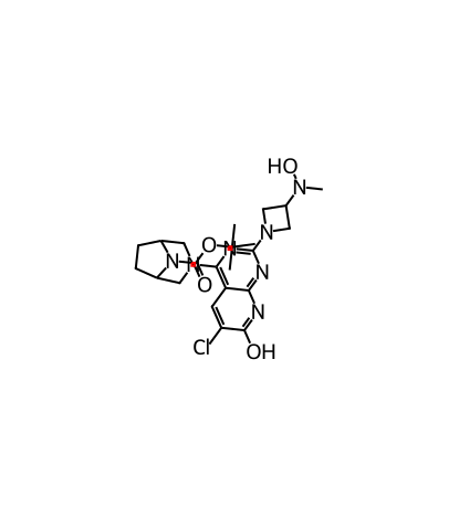 CN(O)C1CN(c2nc(N3CC4CCC(C3)N4C(=O)OC(C)(C)C)c3cc(Cl)c(O)nc3n2)C1